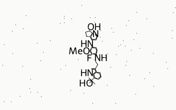 COc1c(Nc2ccnc3c2CCC3O)ccc(NCCc2c[nH]c3c(C(C)(C)O)cccc23)c1F